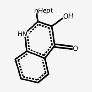 CCCCCCCc1[nH]c2ccccc2c(=O)c1O